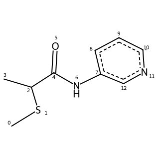 CSC(C)C(=O)Nc1cc[c]nc1